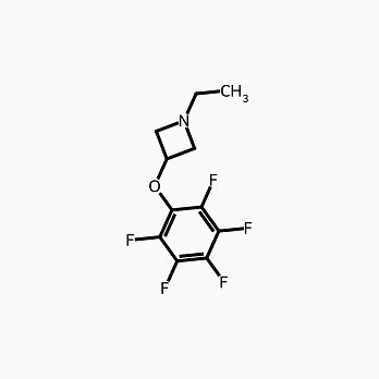 CCN1CC(Oc2c(F)c(F)c(F)c(F)c2F)C1